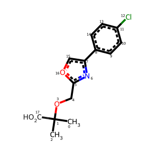 CC(C)(OCc1nc(-c2ccc(Cl)cc2)co1)C(=O)O